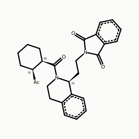 CC(=O)[C@H]1CCCC[C@H]1C(=O)N1CCc2ccccc2[C@@H]1CCN1C(=O)c2ccccc2C1=O